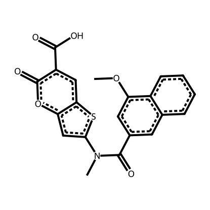 COc1cc(C(=O)N(C)c2cc3oc(=O)c(C(=O)O)cc3s2)cc2ccccc12